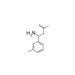 C=C(C)CC(N)c1cccc(C)c1